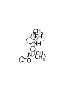 CN(C)/C=C1/CCCc2c([nH]c3cc4c(cc23)N(CC(=O)c2ccccc2)CC4(C)C)C1=O